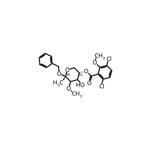 COc1c(Cl)ccc(Cl)c1C(=O)O[C@H]1CO[C@@](C)(OCc2ccccc2)C(OC)C1O